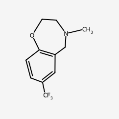 CN1CCOc2ccc(C(F)(F)F)cc2C1